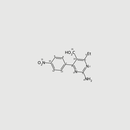 CCc1nc(N)nc(-c2ccc([N+](=O)[O-])cc2)c1C(=O)O